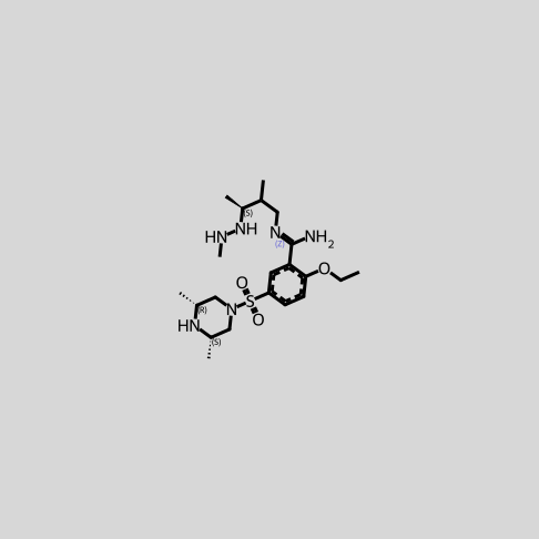 CCOc1ccc(S(=O)(=O)N2C[C@@H](C)N[C@@H](C)C2)cc1/C(N)=N/CC(C)[C@H](C)NNC